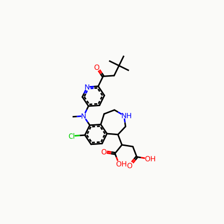 CN(c1ccc(C(=O)CC(C)(C)C)nc1)c1c(Cl)ccc2c1CCNCC2C(CC(=O)O)C(=O)O